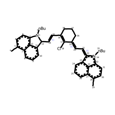 CCCCN1c2ccc(C)c3cccc(c23)C1/C=C/C1=C(Cl)C(=C/C=c2\c3cccc4c(C)ccc(c43)n2CCCC)/CCC1